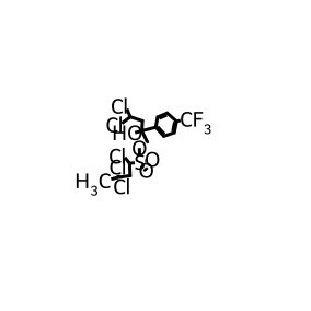 CC(Cl)(Cl)CC(Cl)S(=O)(=O)OCC(O)(CC(Cl)Cl)c1ccc(C(F)(F)F)cc1